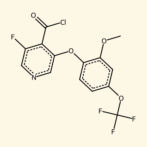 COc1cc(OC(F)(F)F)ccc1Oc1cncc(F)c1C(=O)Cl